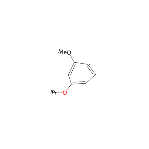 COc1[c]ccc(OC(C)C)c1